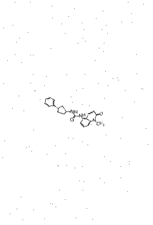 Cn1c(=O)ccc2c(NC(=O)N[C@H]3CC[C@@H](c4ccccc4)C3)cccc21